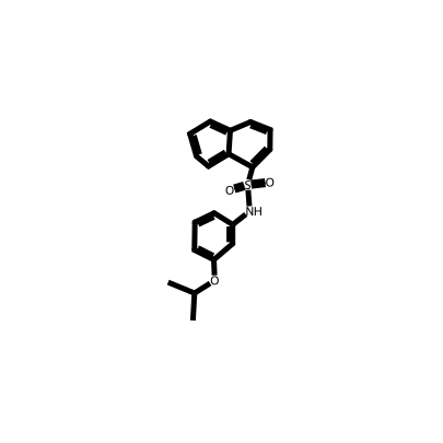 CC(C)Oc1cccc(NS(=O)(=O)c2cccc3ccccc23)c1